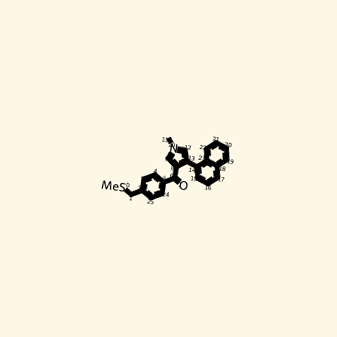 CSCc1ccc(C(=O)c2cn(C)cc2-c2cccc3ccccc23)cc1